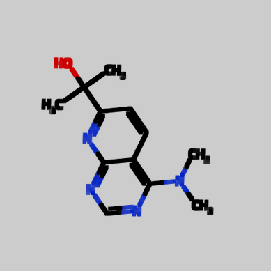 CN(C)c1ncnc2nc(C(C)(C)O)ccc12